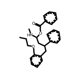 CCCOc1ccccc1CC(CC(NC)OC(=O)c1ccccc1)c1ccccc1